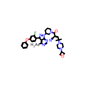 CC(C)(C=C(C#N)C(=O)N1CCCC(n2nc(-c3ccc(Oc4ccccc4)cc3F)c3c([AsH2])ncnc32)C1)N1CCN(C2COC2)CC1